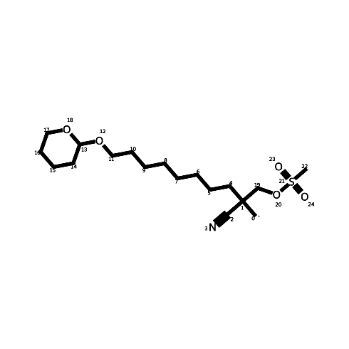 [CH2]C(C#N)(CCCCCCCCOC1CCCCO1)COS(C)(=O)=O